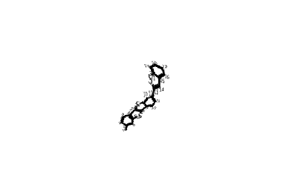 Cc1ccc2c(c1)sc1c3ccc(-c4cc5ccccc5s4)cc3sc21